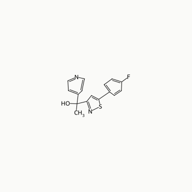 CC(O)(c1ccncc1)c1cc(-c2ccc(F)cc2)sn1